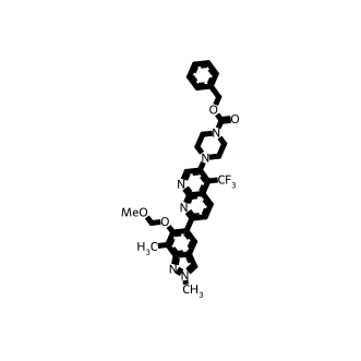 COCOc1c(-c2ccc3c(C(F)(F)F)c(N4CCN(C(=O)OCc5ccccc5)CC4)cnc3n2)cc2cn(C)nc2c1C